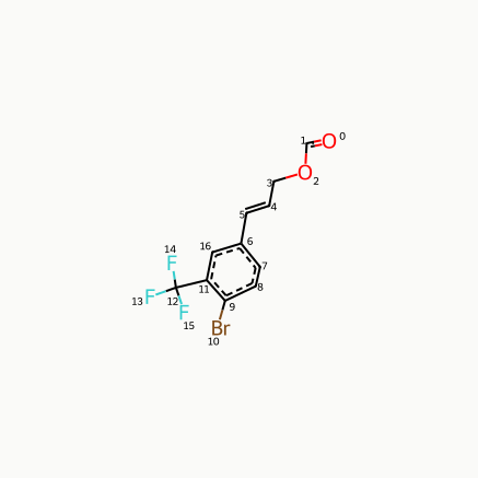 O=[C]OCC=Cc1ccc(Br)c(C(F)(F)F)c1